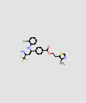 Cc1ncsc1CCOC(=O)c1ccc(/C(=C/C(=N)C(F)(F)F)Nc2ccccc2Cl)cc1